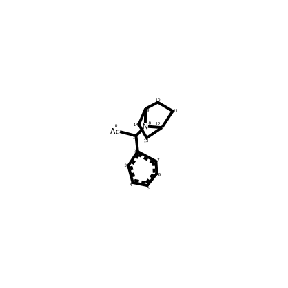 CC(=O)C(c1ccccc1)N1C2CCC1CC2